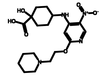 O=C(O)C1(O)CCC(Nc2cc(OCCN3CCCCC3)ncc2[N+](=O)[O-])CC1